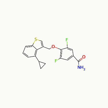 NC(=O)c1cc(F)c(OCc2csc3cccc(C4CC4)c23)c(F)c1